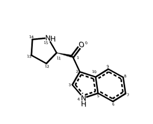 O=C(c1c[nH]c2ccccc12)[C@H]1CCCN1